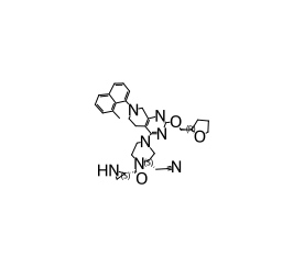 Cc1cccc2cccc(N3CCc4c(nc(OC[C@H]5CCCO5)nc4N4CCN(C(=O)[C@@H]5CN5)[C@@H](CC#N)C4)C3)c12